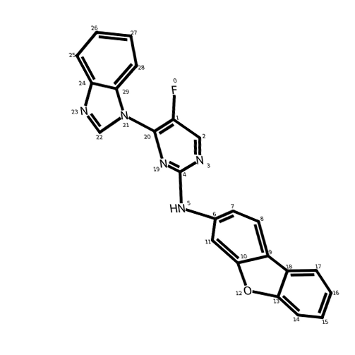 Fc1cnc(Nc2ccc3c(c2)oc2ccccc23)nc1-n1cnc2ccccc21